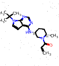 C=CC(=O)N1C[C@H](Nc2ncnc3c2ccn3C(C)(C)C)CC[C@@H]1C